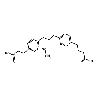 COc1cc(CCC(=O)O)ccc1CCCc1ccc(CCCC(=O)O)cc1